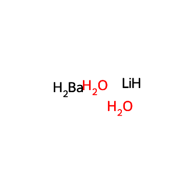 O.O.[BaH2].[LiH]